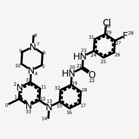 Cc1nc(N2CCN(C)CC2)cc(N(C)c2cccc(NC(=O)Nc3ccc(F)c(Cl)c3)c2)n1